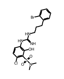 CN(C)S(=O)(=O)c1c(Cl)ccc(NC(=N)NCCCc2ccccc2Br)c1O